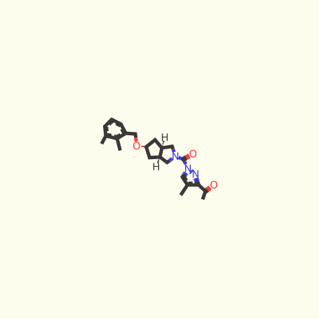 CC(=O)c1nn(C(=O)N2C[C@H]3C[C@H](OCc4cccc(C)c4C)C[C@H]3C2)cc1C